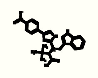 CC(C)(C)N(C(=O)O)[C@H](Cc1c[nH]c2ccccc12)c1nc(-c2ccc([N+](=O)[O-])cc2)c[nH]1